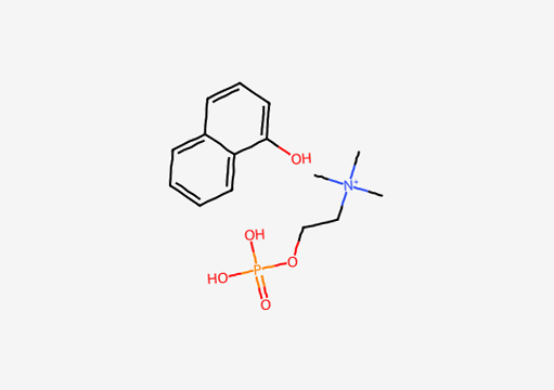 C[N+](C)(C)CCOP(=O)(O)O.Oc1cccc2ccccc12